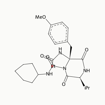 CCC(=O)N[C@]1(Cc2ccc(OC)cc2)C(=O)N[C@@H](C(C)C)C(=O)N1C(=O)NC1CCCCC1